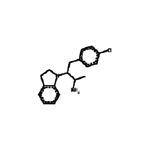 CC(N)C(Cc1ccc(Cl)cc1)N1CCc2ccccc21